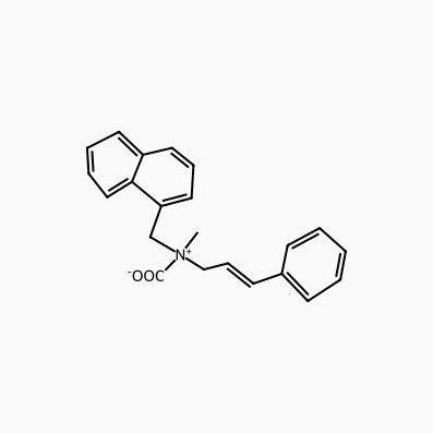 C[N+](CC=Cc1ccccc1)(Cc1cccc2ccccc12)C(=O)[O-]